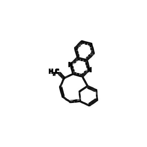 C=C1/C=C\C=C2\C=CC=C(C2)c2nc3ccccc3nc21